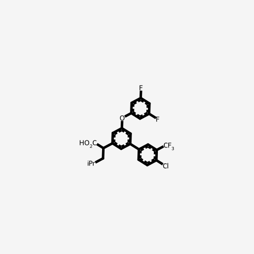 CC(C)CC(C(=O)O)c1cc(Oc2cc(F)cc(F)c2)cc(-c2ccc(Cl)c(C(F)(F)F)c2)c1